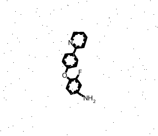 Nc1ccc(Oc2ccc(-c3ccccn3)cc2)c(F)c1